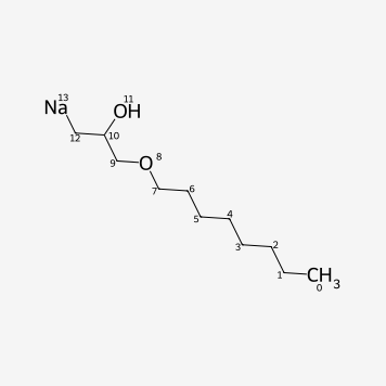 CCCCCCCCOCC(O)[CH2][Na]